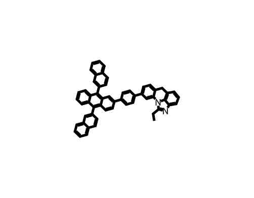 CCc1nc2cccc3c2n1-c1cc(-c2ccc(-c4ccc5c(-c6ccc7ccccc7c6)c6ccccc6c(-c6ccc7ccccc7c6)c5c4)cc2)ccc1C3